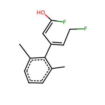 Cc1cccc(C)c1C(/C=C(/O)F)=C/CF